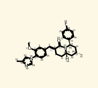 COc1cc(/C=C2\CC[C@H]3C[C@@H](C)C[C@H](c4ccc(F)cc4)N3C2=O)ccc1-n1cnc(C)c1